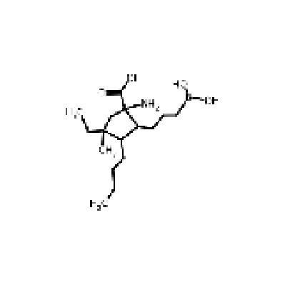 CCCCC1C(CCCB(O)O)C(N)(C(=O)O)CC1(C)CC